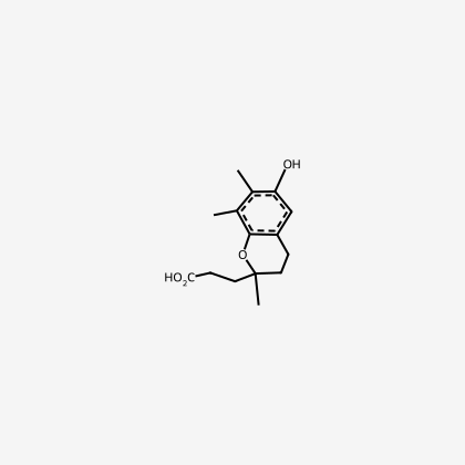 Cc1c(O)cc2c(c1C)OC(C)(CCC(=O)O)CC2